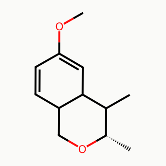 COC1=CC2C(C=C1)CO[C@@H](C)C2C